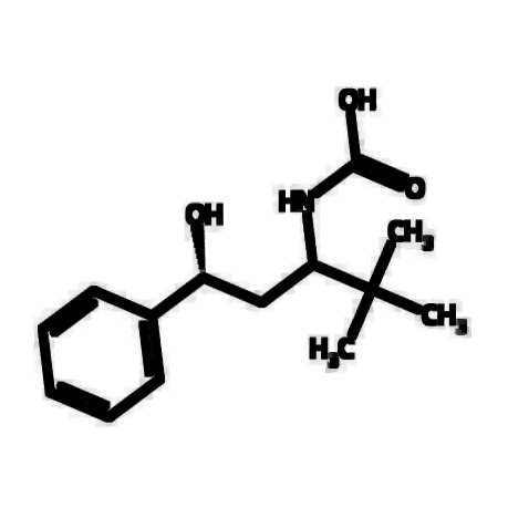 CC(C)(C)C(C[C@@H](O)c1ccccc1)NC(=O)O